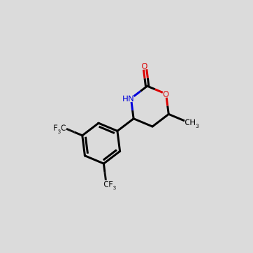 CC1CC(c2cc(C(F)(F)F)cc(C(F)(F)F)c2)NC(=O)O1